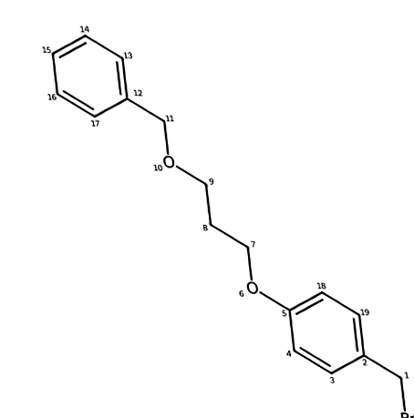 BrCc1ccc(OCCCOCc2ccccc2)cc1